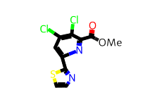 COC(=O)c1nc(-c2nccs2)cc(Cl)c1Cl